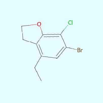 CCc1cc(Br)c(Cl)c2c1CCO2